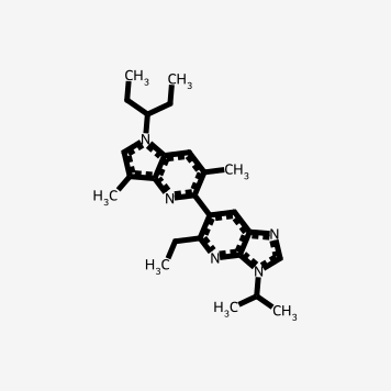 CCc1nc2c(cc1-c1nc3c(C)cn(C(CC)CC)c3cc1C)ncn2C(C)C